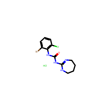 Cl.O=C(NC1=NCCCCN1)Nc1c(Cl)cccc1Br